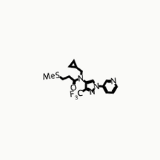 CSCCC(=O)N(CC1CC1)c1cn(-c2cccnc2)nc1C(F)(F)F